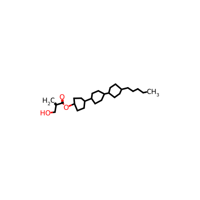 C=C(CO)C(=O)OC1CCC(C2CCC(C3CCC(CCCCC)CC3)CC2)CC1